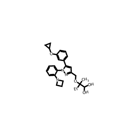 CCC(C)(OCc1cc(-c2cccc(OC3CC3)c2)n(-c2ccccc2N2CCC2)n1)C(O)O